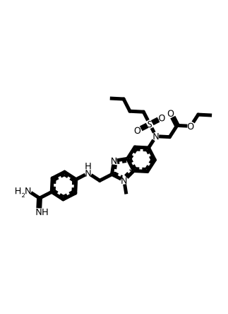 CCCCS(=O)(=O)N(CC(=O)OCC)c1ccc2c(c1)nc(CNc1ccc(C(=N)N)cc1)n2C